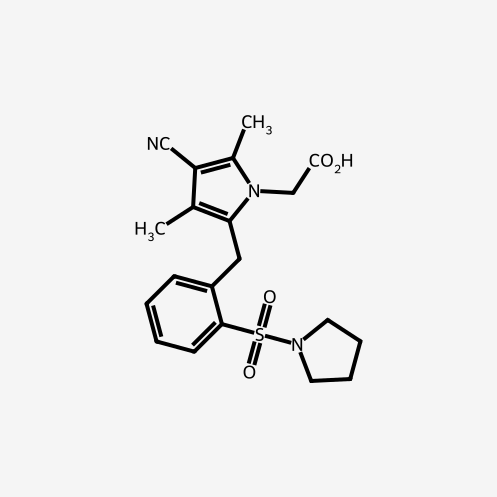 Cc1c(C#N)c(C)n(CC(=O)O)c1Cc1ccccc1S(=O)(=O)N1CCCC1